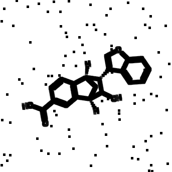 O=C(O)c1ccc2c(c1)[C@H]1C[C@@H]2[C@H](c2coc3ccccc23)C1O